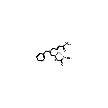 COC(=O)C=CCN(Cc1ccccc1)C[C@@H](C)NC(=O)OC(C)(C)C